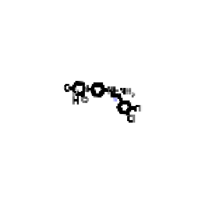 N/C(=C\Nc1ccc(-n2ccc(=O)[nH]c2=O)cc1)c1ccc(Cl)c(Cl)c1